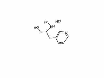 CC(C)N[C@@H](CO)Cc1ccccc1.Cl